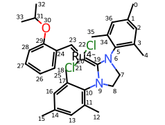 Cc1cc(C)c(N2CCN(c3c(C)cc(C)cc3C)[C]2=[Ru-4]([Cl])([Cl])=[CH]c2ccccc2OC(C)C)c(C)c1